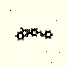 C[C@@H](NC(=O)c1ccc(COc2ccncc2)nc1)C1CCCCC1